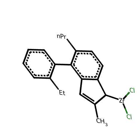 CCCc1ccc2c(c1-c1ccccc1CC)C=C(C)[CH]2[Zr]([Cl])[Cl]